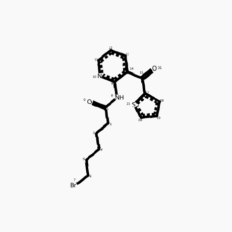 O=C(CCCCCBr)Nc1ncccc1C(=O)c1cccs1